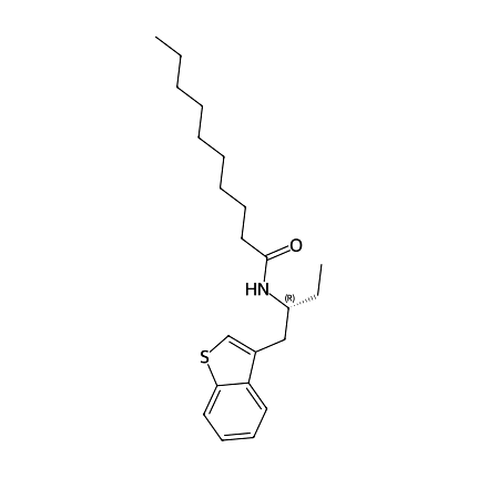 CCCCCCCCCC(=O)N[C@H](CC)Cc1csc2ccccc12